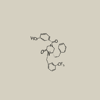 O=C(c1cccc(O)c1)N1CC(=O)N(Cc2cccc(C(F)(F)F)c2)[C@@H](CCc2ccccc2)C1